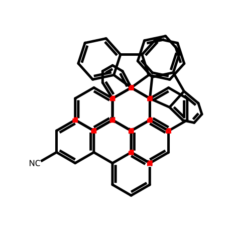 N#Cc1ccc(N2c3ccccc3C3(c4ccccc4-c4ccccc43)c3ccccc32)c(-c2cccnc2N2c3ccccc3C3(c4ccccc4-c4ccccc43)c3ccccc32)c1